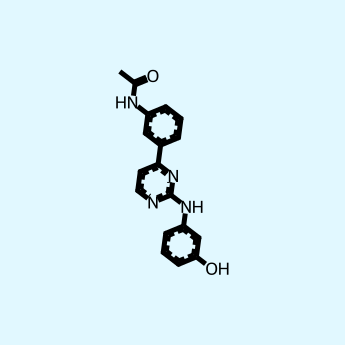 CC(=O)Nc1cccc(-c2ccnc(Nc3cccc(O)c3)n2)c1